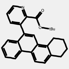 CC(C)(C)OC(=O)c1ncccc1-c1cc2c3c(ccc2c2ccccc12)CCCC3